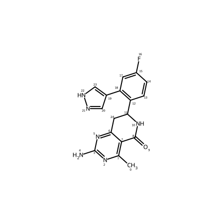 Cc1nc(N)nc2c1C(=O)NC(c1ccc(F)cc1-c1cn[nH]c1)C2